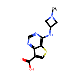 CN1CC(Nc2ncnc3c(C(=O)O)csc23)C1